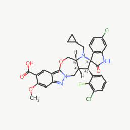 COc1cc2nn3c(c2cc1C(=O)O)OC[C@H]1[C@@H](C3)[C@H](c2cccc(Cl)c2F)[C@]2(C(=O)Nc3cc(Cl)ccc32)N1CC1CC1